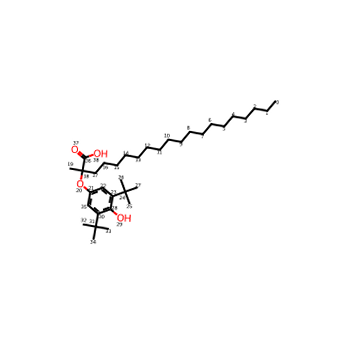 CCCCCCCCCCCCCCCCCCC(C)(Oc1cc(C(C)(C)C)c(O)c(C(C)(C)C)c1)C(=O)O